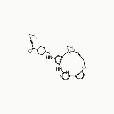 CC#CC(=O)C1CCC(CNc2cc3cc(c2)Nc2nccc(n2)-c2cccc(c2)OCC/C=C/CN(C)C3)CC1